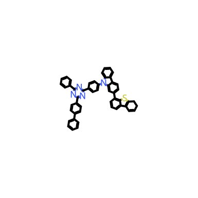 C1=Cc2c(sc3c(-c4ccc5c6ccccc6n(-c6ccc(-c7nc(-c8ccccc8)nc(-c8ccc(-c9ccccc9)cc8)n7)cc6)c5c4)cccc23)CC1